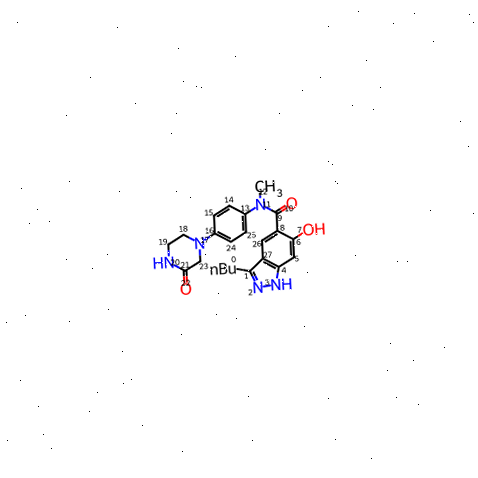 CCCCc1n[nH]c2cc(O)c(C(=O)N(C)c3ccc(N4CCNC(=O)C4)cc3)cc12